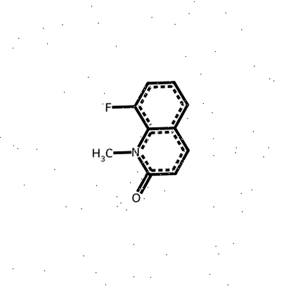 Cn1c(=O)ccc2cccc(F)c21